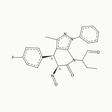 CCC(C=O)N1C(=O)[C@@H](N=O)[C@@H](c2ccc(F)cc2)c2c(C)nn(-c3ccccc3)c21